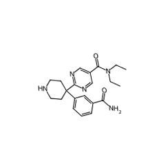 CCN(CC)C(=O)c1cnc(C2(c3cccc(C(N)=O)c3)CCNCC2)nc1